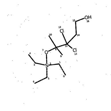 CC[Si](CC)(CC)OC(C)(C)C(Cl)(Cl)CCO